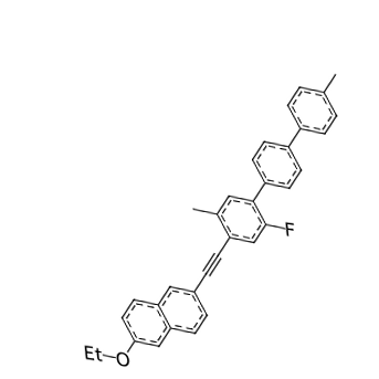 CCOc1ccc2cc(C#Cc3cc(F)c(-c4ccc(-c5ccc(C)cc5)cc4)cc3C)ccc2c1